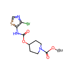 CC(C)(C)OC(=O)N1CCC(OC(=O)Nc2scnc2Br)CC1